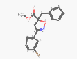 COC(=O)C1(Cc2ccccc2)CC(c2cccc(Br)c2)=NO1